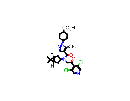 CC1(C)[C@@H]2CC(N(CC(=O)c3c(Cl)cncc3Cl)C(=O)c3cnn(C4CCC(C(=O)O)CC4)c3C(F)(F)F)C[C@@H]21